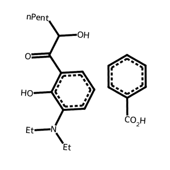 CCCCCC(O)C(=O)c1cccc(N(CC)CC)c1O.O=C(O)c1ccccc1